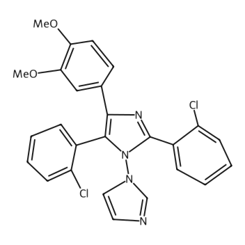 COc1ccc(-c2nc(-c3ccccc3Cl)n(-n3ccnc3)c2-c2ccccc2Cl)cc1OC